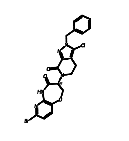 O=C1Nc2nc(Br)ccc2OC[C@@H]1N1CCc2c(nn(Cc3ccccc3)c2Cl)C1=O